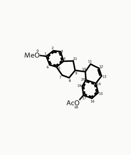 COc1ccc2c(c1)CCC(C1C[C]=Cc3ccc(OC(C)=O)cc31)C2